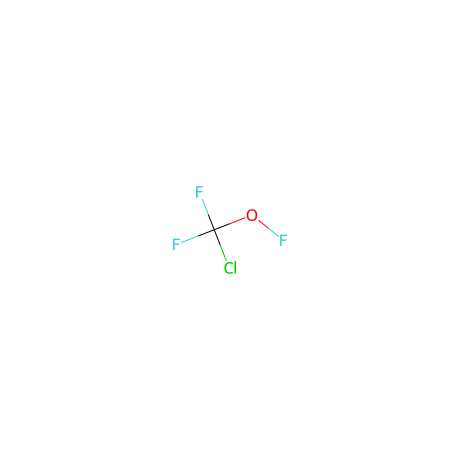 FOC(F)(F)Cl